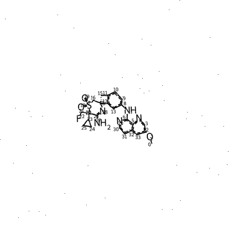 COc1cnc2c(Nc3ccc4c(c3)[C@]3(C4)CS(=O)(=O)[C@@](CF)(C4CC4)C(N)=N3)nccc2c1